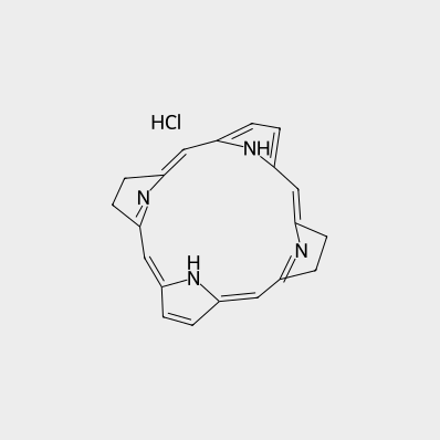 Cl.c1cc2cc3nc(cc4ccc(cc5nc(cc1[nH]2)CC5)[nH]4)CC3